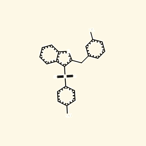 O=S(=O)(c1ccc(O)cc1)c1c(Cc2cccc(C(F)(F)F)c2)oc2ccccc12